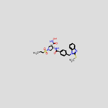 CCCS(=O)(=O)N1C[C@H](C(=O)NO)[C@H](NC(=O)c2ccc(Cn3c(SC)nc4ccccc43)cc2)C1